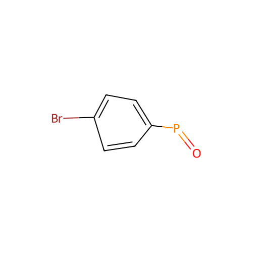 O=Pc1ccc(Br)cc1